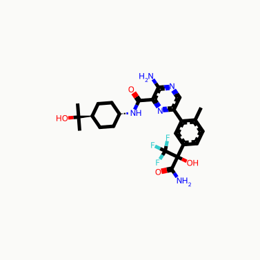 Cc1ccc(C(O)(C(N)=O)C(F)(F)F)cc1-c1cnc(N)c(C(=O)N[C@H]2CC[C@H](C(C)(C)O)CC2)n1